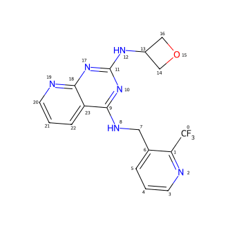 FC(F)(F)c1ncccc1CNc1nc(NC2COC2)nc2ncccc12